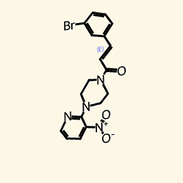 O=C(/C=C/c1cccc(Br)c1)N1CCN(c2ncccc2[N+](=O)[O-])CC1